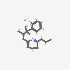 CCCc1cccc(CC(C)C(C)(C)c2ccccc2F)n1